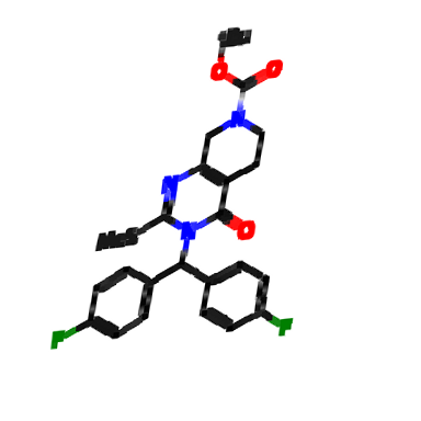 CSc1nc2c(c(=O)n1C(c1ccc(F)cc1)c1ccc(F)cc1)CCN(C(=O)OC(C)(C)C)C2